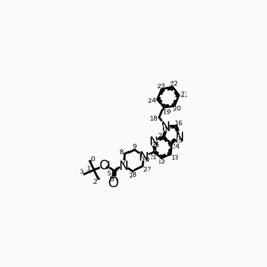 CC(C)(C)OC(=O)N1CCN(c2ccc3ncn(Cc4ccccc4)c3n2)CC1